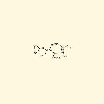 COc1c(-n2ccc3ncnc-3n2)ccc(C)c1S